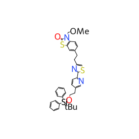 COCn1c(=O)sc2cc(CCc3csc(-c4ccc(CCO[Si](c5ccccc5)(c5ccccc5)C(C)(C)C)cn4)n3)ccc21